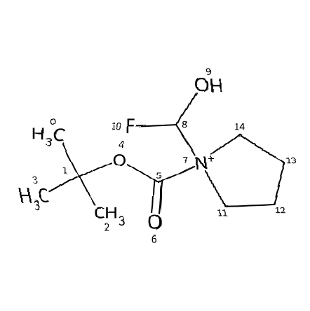 CC(C)(C)OC(=O)[N+]1(C(O)F)CCCC1